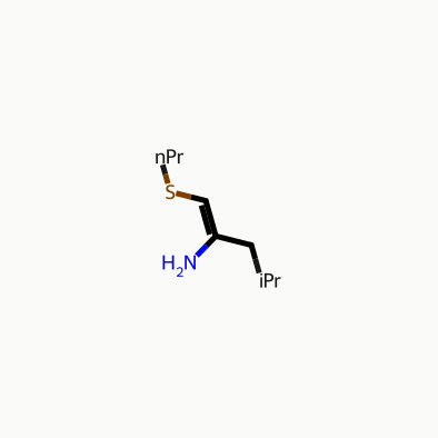 CCCS/C=C(\N)CC(C)C